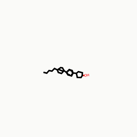 CCCCCC12CCC(c3ccc(C4CCC(O)CC4)cc3)(CC1)CC2